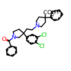 O=C(c1ccccc1)N1CCC(CCN2CCC(C(=O)O)(c3ccccc3)CC2)(c2ccc(Cl)c(Cl)c2)C1